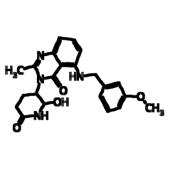 COc1cccc(CNc2cccc3nc(C)n(C4CCC(=O)NC4O)c(=O)c23)c1